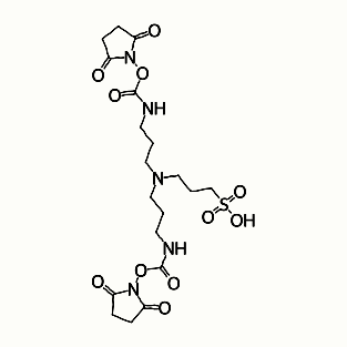 O=C(NCCCN(CCCNC(=O)ON1C(=O)CCC1=O)CCCS(=O)(=O)O)ON1C(=O)CCC1=O